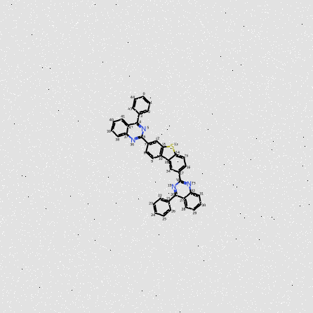 c1ccc(-c2nc(-c3ccc4c(c3)sc3ccc(-c5nc(-c6ccccc6)c6ccccc6n5)cc34)nc3ccccc23)cc1